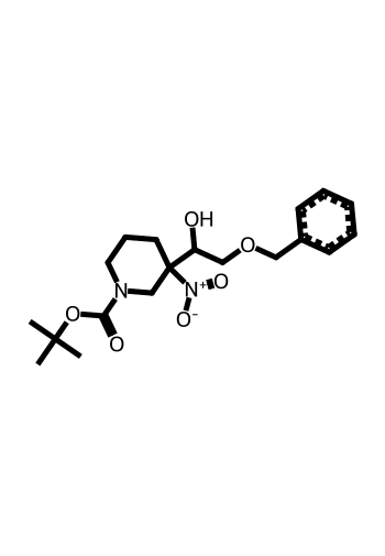 CC(C)(C)OC(=O)N1CCCC(C(O)COCc2ccccc2)([N+](=O)[O-])C1